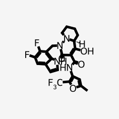 Cc1cc(NC(=O)C2=C(O)[C@@H]3CCCCN3N(Cc3c(F)c(F)cc4cc[nH]c34)C2=O)c(C(F)(F)F)o1